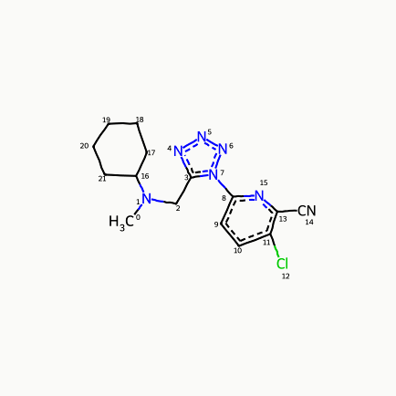 CN(Cc1nnnn1-c1ccc(Cl)c(C#N)n1)C1CCCCC1